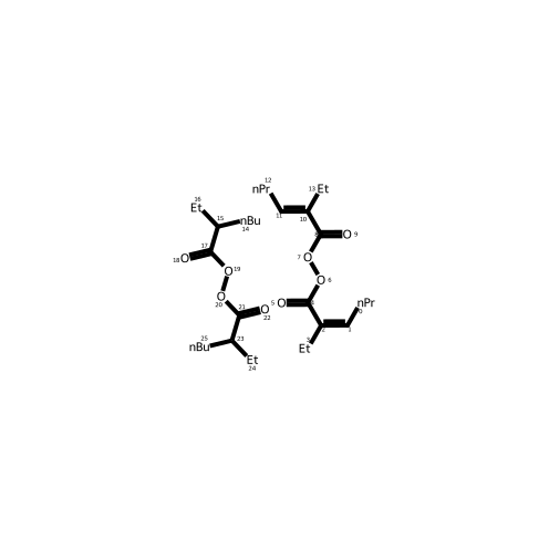 CCCC=C(CC)C(=O)OOC(=O)C(=CCCC)CC.CCCCC(CC)C(=O)OOC(=O)C(CC)CCCC